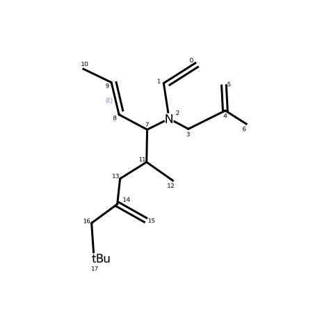 C=CN(CC(=C)C)C(/C=C/C)C(C)CC(=C)CC(C)(C)C